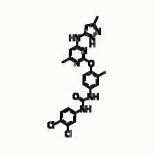 Cc1cc(Nc2cc(C)nc(Oc3ccc(NC(=O)Nc4ccc(Cl)c(Cl)c4)cc3C)n2)[nH]n1